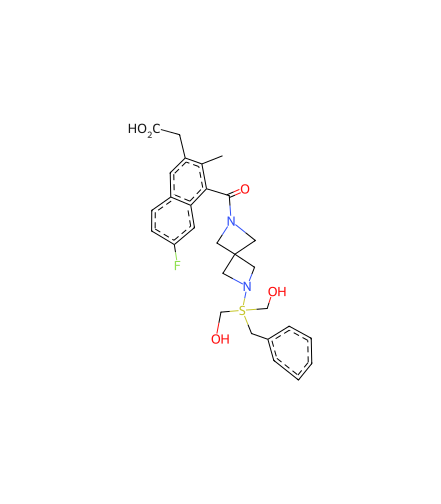 Cc1c(CC(=O)O)cc2ccc(F)cc2c1C(=O)N1CC2(C1)CN(S(CO)(CO)Cc1ccccc1)C2